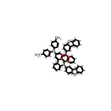 Cc1ccc(N(c2ccc(C)cc2)c2cc(-c3ccccc3N(c3ccccc3)c3ccc4oc5ccccc5c4c3)cc(N(c3ccccc3)c3ccc4oc5ccccc5c4c3)c2)cc1